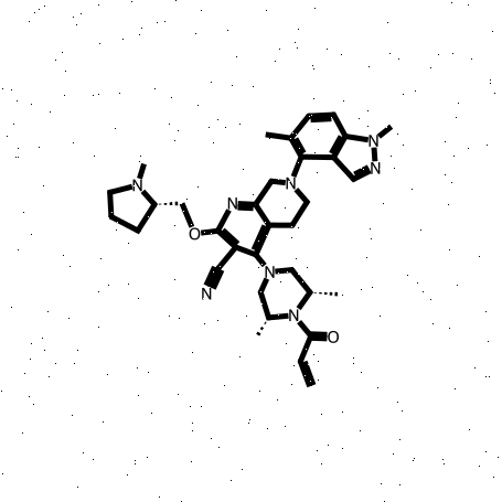 C=CC(=O)N1[C@H](C)CN(c2c(C#N)c(OC[C@@H]3CCCN3C)nc3c2CCN(c2c(C)ccc4c2cnn4C)C3)C[C@@H]1C